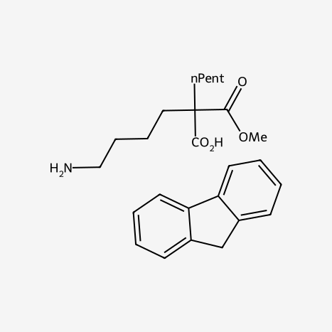 CCCCCC(CCCCN)(C(=O)O)C(=O)OC.c1ccc2c(c1)Cc1ccccc1-2